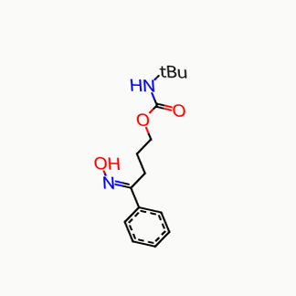 CC(C)(C)NC(=O)OCCCC(=NO)c1ccccc1